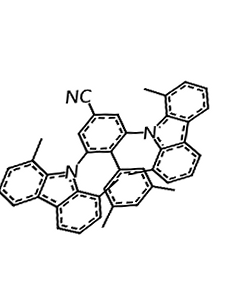 Cc1cc(C)cc(-c2c(-n3c4c(C)cccc4c4cccc(C)c43)cc(C#N)cc2-n2c3c(C)cccc3c3cccc(C)c32)c1